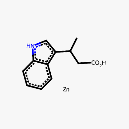 CC(CC(=O)O)c1c[nH]c2ccccc12.[Zn]